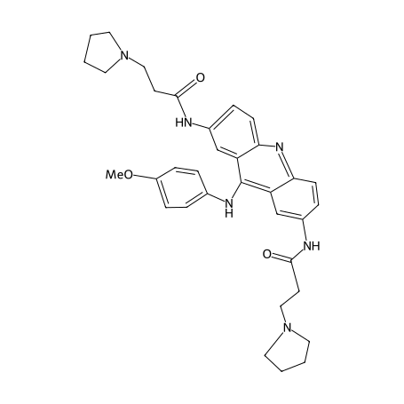 COc1ccc(Nc2c3cc(NC(=O)CCN4CCCC4)ccc3nc3ccc(NC(=O)CCN4CCCC4)cc23)cc1